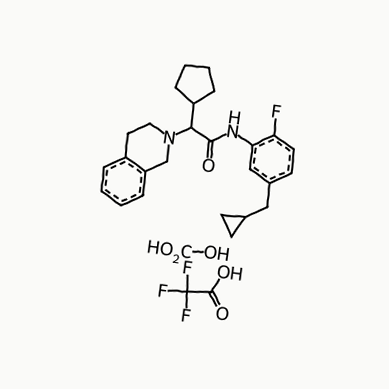 O=C(Nc1cc(CC2CC2)ccc1F)C(C1CCCC1)N1CCc2ccccc2C1.O=C(O)C(F)(F)F.O=C(O)O